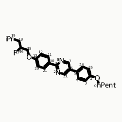 CCCCCOc1ccc(-c2cnc(-c3ccc(OCC(F)CC(C)C)cc3)nc2)cc1